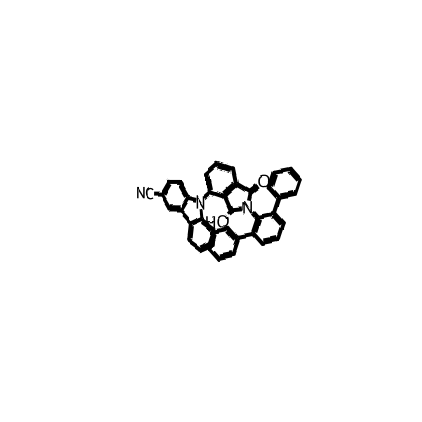 N#Cc1ccc2c(c1)c1ccccc1n2-c1cccc2c1C(O)N(c1c(-c3ccccc3)cccc1-c1ccccc1)C2=O